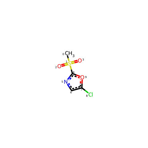 CS(=O)(=O)c1ncc(Cl)o1